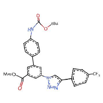 COC(=O)c1cc(-c2ccc(NC(=O)OC(C)(C)C)cc2)cc(-n2cc(-c3ccc(C(F)(F)F)cc3)nn2)c1